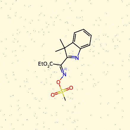 CCOC(=O)/C(=N\OS(C)(=O)=O)C1=Nc2ccccc2C1(C)C